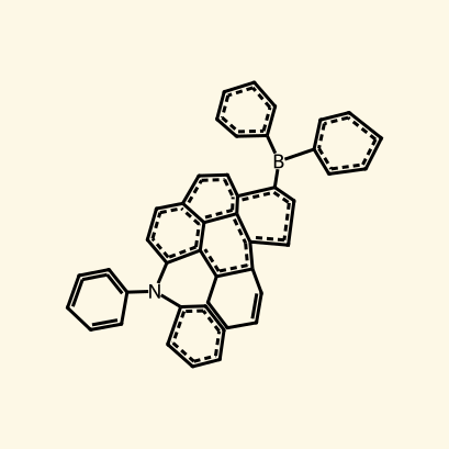 C1=C=C(N(c2ccccc2)c2ccc3ccc4c(B(c5ccccc5)c5ccccc5)ccc5c6c(c2c3c45)CCC=C6)C=CC=1